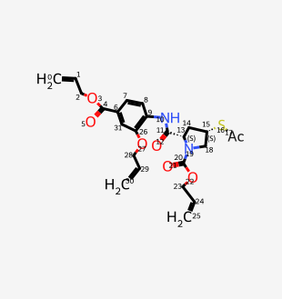 C=CCOC(=O)c1ccc(NC(=O)[C@@H]2C[C@H](SC(C)=O)CN2C(=O)OCC=C)c(OCC=C)c1